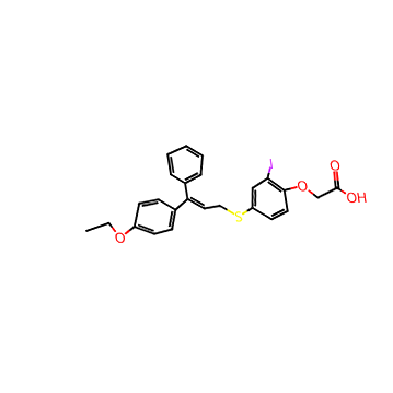 CCOc1ccc(C(=CCSc2ccc(OCC(=O)O)c(I)c2)c2ccccc2)cc1